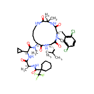 CC(C)C[C@@H]1NC(=O)[C@@H](N(C)C(=O)[C@@H](NC(=O)[C@H](C)NC(=O)C2(C(F)(F)F)CCCCC2)C2CC2)CCCCNC(=O)C(C)(C)NC(=O)[C@H](Cc2cc(Cl)ccc2Cl)N(C)C1=O